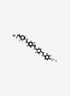 Nc1ccc(/C=C/c2ccc(/C=C/c3ccc(/C=C/c4ccc(N)cc4)cc3)cc2)cc1